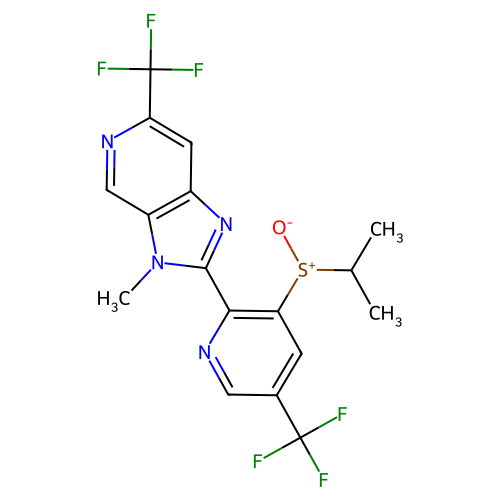 CC(C)[S+]([O-])c1cc(C(F)(F)F)cnc1-c1nc2cc(C(F)(F)F)ncc2n1C